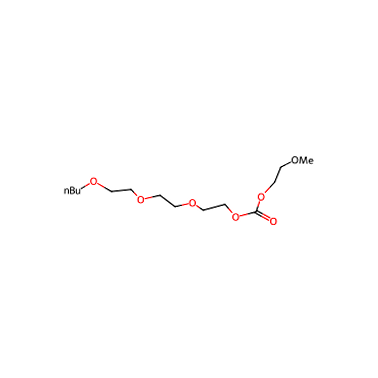 CCCCOCCOCCOCCOC(=O)OCCOC